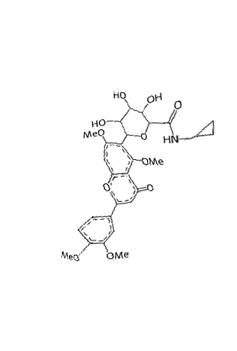 COc1ccc(-c2cc(=O)c3c(OC)c(C4OC(C(=O)NC5CC5)C(O)C(O)C4O)c(OC)cc3o2)cc1OC